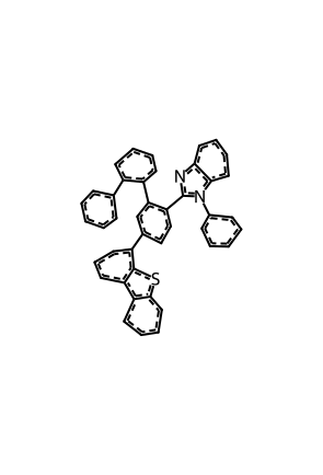 c1ccc(-c2ccccc2-c2cc(-c3cccc4c3sc3ccccc34)ccc2-c2nc3ccccc3n2-c2ccccc2)cc1